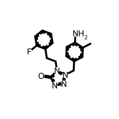 Cc1cc(Cn2nnc(=O)n2CCc2ccccc2F)ccc1N